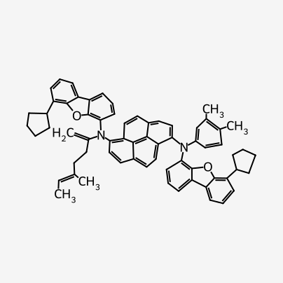 C=C(CC/C(C)=C/C)N(c1ccc2ccc3c(N(c4ccc(C)c(C)c4)c4cccc5c4oc4c(C6CCCC6)cccc45)ccc4ccc1c2c43)c1cccc2c1oc1c(C3CCCC3)cccc12